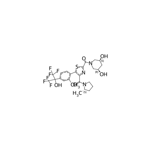 Cc1cc(C(O)(C(F)(F)F)C(F)(F)F)ccc1-c1sc(C(=O)N2C[C@H](O)C[C@H](O)C2)nc1C(=O)N1CCC[C@@H]1C